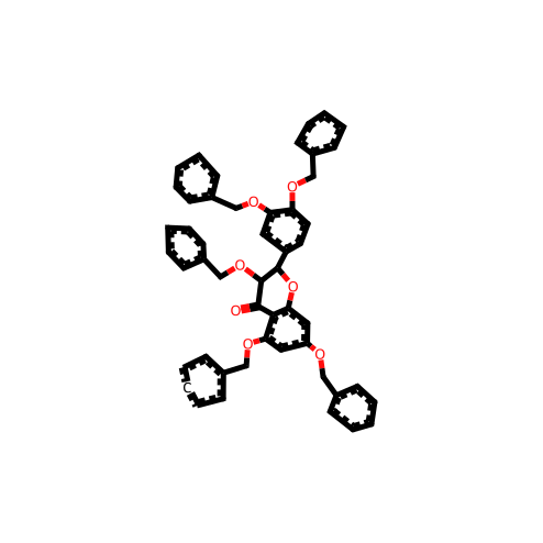 O=C1c2c(OCc3ccccc3)cc(OCc3ccccc3)cc2OC(c2ccc(OCc3ccccc3)c(OCc3ccccc3)c2)C1OCc1ccccc1